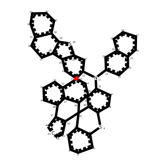 c1ccc2c(c1)Sc1ccc(N(c3ccc4ccccc4c3)c3ccc4c(c3)sc3c5ccccc5ccc43)cc1C21c2ccccc2-c2cccc3cccc1c23